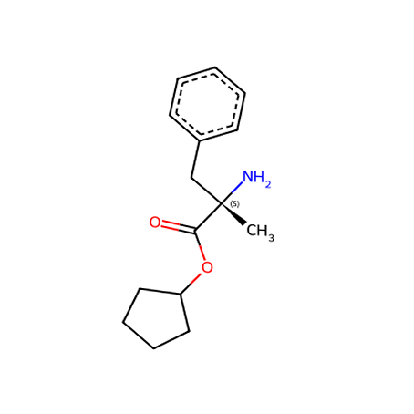 C[C@](N)(Cc1ccccc1)C(=O)OC1CCCC1